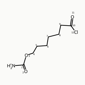 NC(=O)OCCCCCCC(=O)Cl